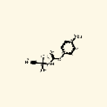 C#CC(C)(C)NC(=O)Sc1ccc(CCCC)cc1